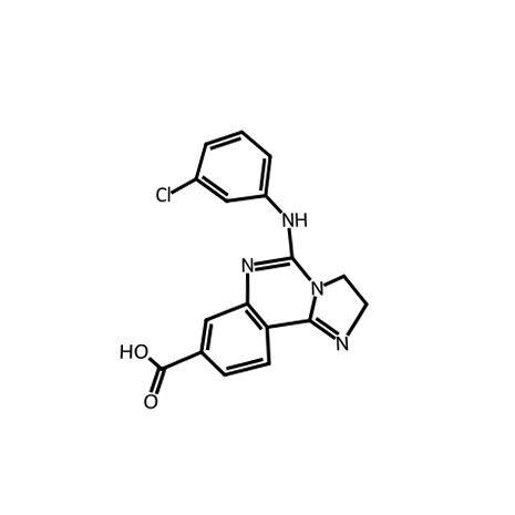 O=C(O)c1ccc2c(c1)N=C(Nc1cccc(Cl)c1)N1CCN=C21